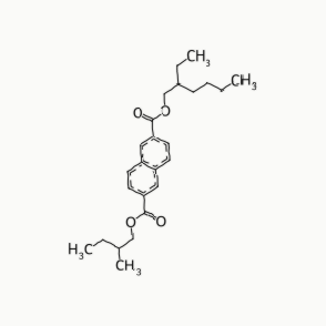 CCCCC(CC)COC(=O)c1ccc2cc(C(=O)OCC(C)CC)ccc2c1